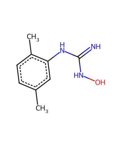 Cc1ccc(C)c(NC(=N)NO)c1